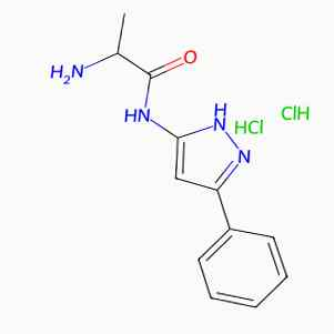 CC(N)C(=O)Nc1cc(-c2ccccc2)n[nH]1.Cl.Cl